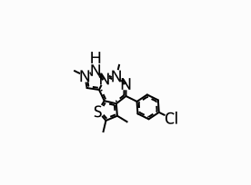 Cc1sc2c3cn(C)[nH]n-3n(C)nc(-c3ccc(Cl)cc3)c2c1C